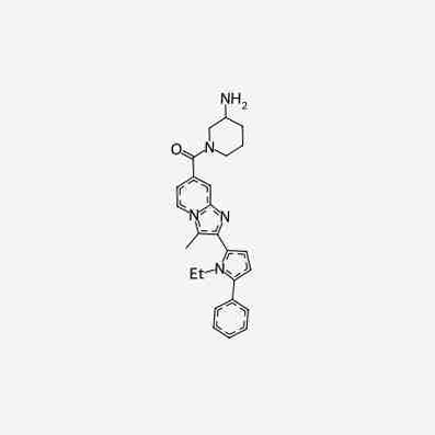 CCn1c(-c2ccccc2)ccc1-c1nc2cc(C(=O)N3CCCC(N)C3)ccn2c1C